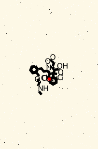 CCNCCOCc1ccccc1CCC1=C(C(=O)O)C(C)(c2c(Cl)cccc2Cl)C(C(=O)O)=C(CC(=O)OC)N1C